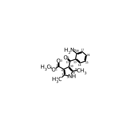 COC(=O)c1c(C)[nH]c(C)c1C(=O)c1ccccc1N